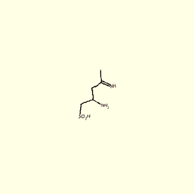 CC(=N)CC(N)CS(=O)(=O)O